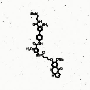 CNCCNC(=O)c1cc(-c2ccc(NC(=O)c3cc(NC(=O)CCCOc4cc5c(cc4OC)C(=O)N4C=CC[C@@H]4C=N5)cn3C)cc2)cn1C